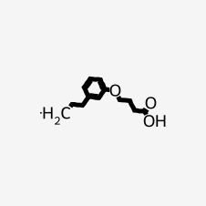 [CH2]CCc1cccc(OCCCC(=O)O)c1